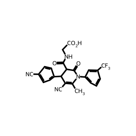 CC1=C(C#N)C(c2ccc(C#N)cc2)C(C(=O)NCC(=O)O)C(=O)N1c1cccc(C(F)(F)F)c1